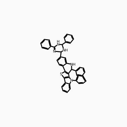 c1ccc(C2=NC(c3ccc4c(c3)NC(c3ccccc3)c3c-4sc4c5ccccc5n(-c5ccccc5)c34)NC(c3ccccc3)N2)cc1